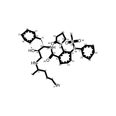 CC(C)CCCC(C)NC[C@@H](O)[C@H](Cc1ccccc1)NC(=O)c1cccc(N(c2ccccc2)S(C)(=O)=O)c1N1CCCC1=O